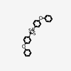 c1ccc(Oc2ccc(P3SP(c4ccc(Oc5ccccc5)cc4)S3)cc2)cc1